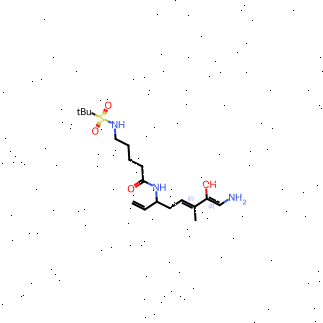 C=CC(C/C=C(C)/C(O)=C/N)NC(=O)CCCCNS(=O)(=O)C(C)(C)C